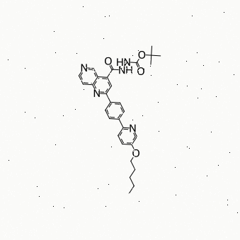 CCCCCOc1ccc(-c2ccc(-c3cc(C(=O)NNC(=O)OC(C)(C)C)c4cnccc4n3)cc2)nc1